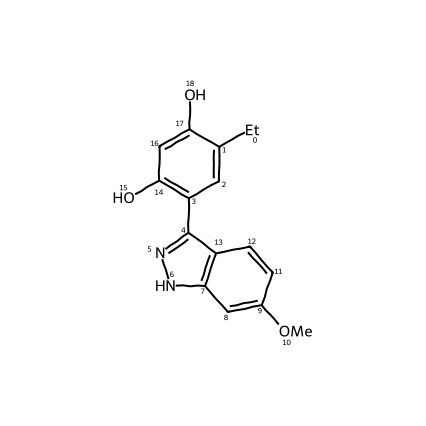 CCc1cc(-c2n[nH]c3cc(OC)ccc23)c(O)cc1O